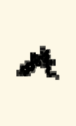 CC1C=C(NCCCN)NC(NC(=O)Nc2ccc3c(c2)CCNC3)N1